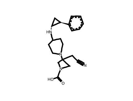 N#CCC1(N2CCC(N[C@@H]3C[C@H]3c3ccccc3)CC2)CN(C(=O)O)C1